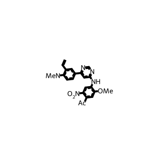 C=Cc1cc(-c2cc(Nc3cc([N+](=O)[O-])c(C(C)=O)cc3OC)ncn2)ccc1NC